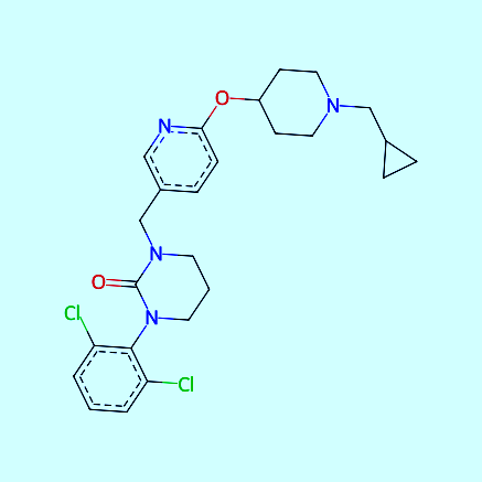 O=C1N(Cc2ccc(OC3CCN(CC4CC4)CC3)nc2)CCCN1c1c(Cl)cccc1Cl